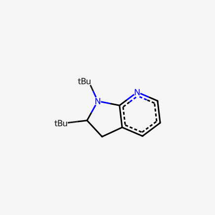 CC(C)(C)C1Cc2cccnc2N1C(C)(C)C